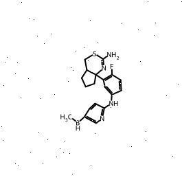 CBc1ccc(Nc2ccc(F)c(C34CCCC3CSC(N)=N4)c2)nc1